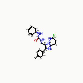 Cc1ccc(-c2nc3ccc(Cl)nn3c2CNC(=O)Nc2ccccc2)cc1